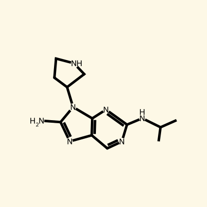 CC(C)Nc1ncc2nc(N)n(C3CCNC3)c2n1